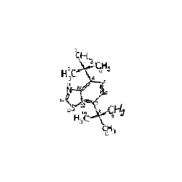 CC(C)(C)c1ccc(C(C)(C)C)c2scnc12